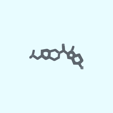 CN(C)Cc1ccc2c(c1)CCN(C(=O)c1cc3cc(Cl)ccc3n1C)C2